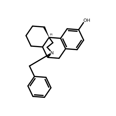 Oc1ccc2c(c1)[C@@]13CCCCC1C(C2)N(Cc1ccccc1)CC3